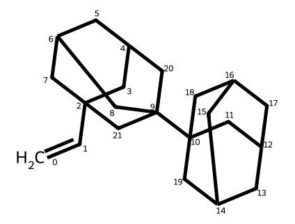 C=CC12CC3CC(C1)CC(C14CC5CC(CC(C5)C1)C4)(C3)C2